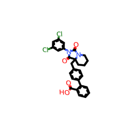 O=C(O)c1ccccc1-c1ccc(CC23CCCCN2C(=O)N(c2cc(Cl)cc(Cl)c2)C3=O)cc1